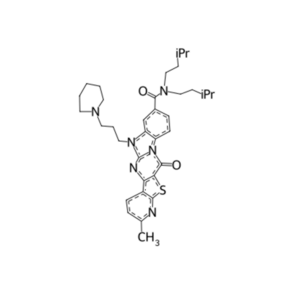 Cc1ccc2c(n1)sc1c(=O)n3c4ccc(C(=O)N(CCC(C)C)CCC(C)C)cc4n(CCCN4CCCCC4)c3nc12